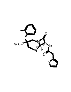 O=C(Cc1cccs1)N[C@@H]1C(=O)N2CC(Sc3ccccc3I)(C(=O)O)CS[C@H]12